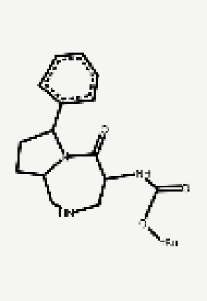 CC(C)(C)OC(=O)NC1CNCC2CCC(c3ccccc3)N2C1=O